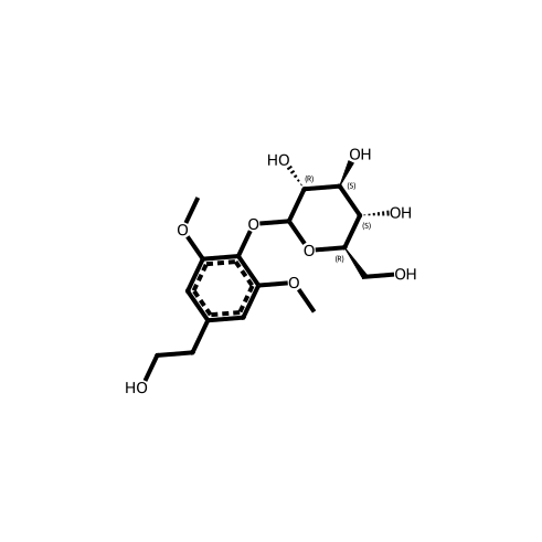 COc1cc(CCO)cc(OC)c1OC1O[C@H](CO)[C@@H](O)[C@H](O)[C@H]1O